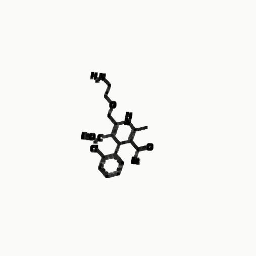 CCOC(=O)C1=C(COCCN)NC(C)=C(C(=O)CC)C1c1ccccc1Cl